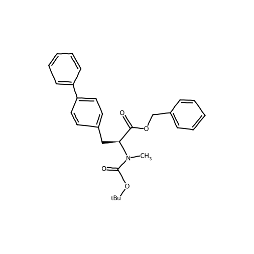 CN(C(=O)OC(C)(C)C)[C@@H](Cc1ccc(-c2ccccc2)cc1)C(=O)OCc1ccccc1